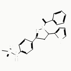 CS(=O)(=O)Nc1ccc(C2=NN(C(=O)c3ccccc3)C(c3ccco3)C2)cc1